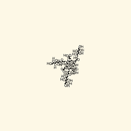 CC(=O)N[C@@H](CCC(=O)NC[C@H](O)[C@@H](O)[C@H](O)[C@H](O)CO)C(=O)N[C@@H](CCC(=O)O)C(=O)N[C@@H](CCC(=O)NC[C@H](O)[C@@H](O)[C@H](O)[C@H](O)CO)C(=O)N[C@@H](CCC(=O)O)C(=O)N[C@@H](CCC(=O)NC[C@H](O)[C@@H](O)[C@H](O)[C@H](O)CO)C(=O)N[C@@H](CS)C(=O)O